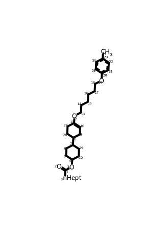 CCCCCCCC(=O)OC1CCC(C2CC=C(OCCCCCCOc3ccc(C)cc3)CC2)CC1